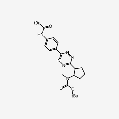 CN(C(=O)OC(C)(C)C)C1CCCC1c1nnc(-c2ccc(NC(=O)C(C)(C)C)cc2)nn1